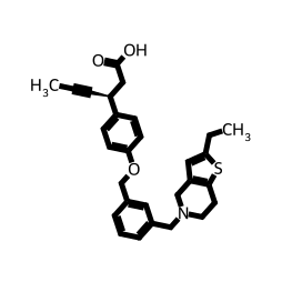 CC#C[C@@H](CC(=O)O)c1ccc(OCc2cccc(CN3CCc4sc(CC)cc4C3)c2)cc1